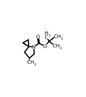 C[C@H]1CN(C(=O)OC(C)(C)C)C2(CC2)C1